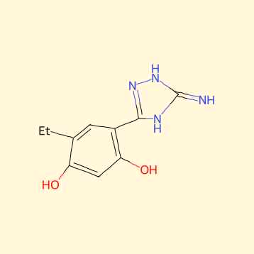 CCc1cc(-c2n[nH]c(=N)[nH]2)c(O)cc1O